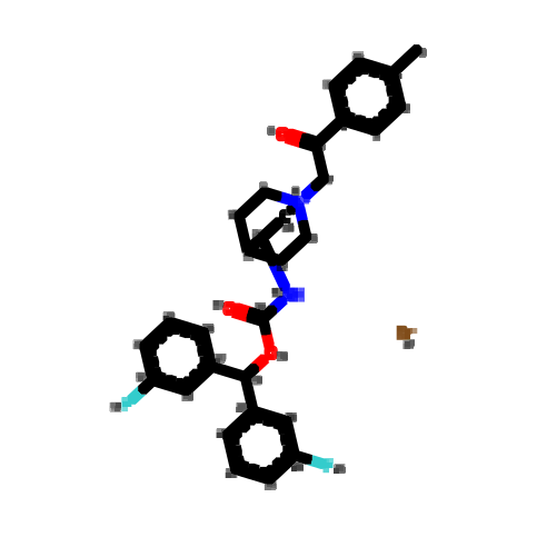 Cc1ccc(C(=O)C[N+]23CCC(CC2)C(NC(=O)OC(c2cccc(F)c2)c2cccc(F)c2)C3)cc1.[Br-]